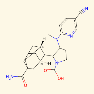 CN(c1ccc(C#N)cn1)C1CCN(C(=O)O)C1C1[C@@H]2CC3C[C@H]1CC(C(N)=O)(C3)C2